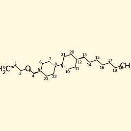 C=CCOC[C@H]1CC[C@H]([C@H]2CC[C@H](CCCCCCC)CC2)CC1